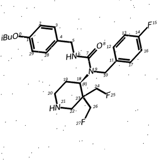 CC(C)COc1ccc(CNC(=O)N(Cc2ccc(F)cc2)[C@@H]2CCNCC2(CF)CF)cc1